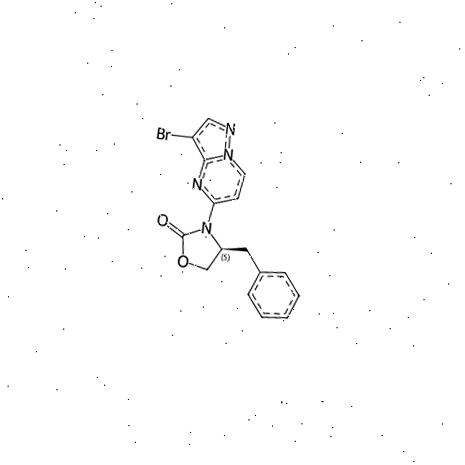 O=C1OC[C@H](Cc2ccccc2)N1c1ccn2ncc(Br)c2n1